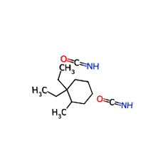 CCC1(CC)CCCCC1C.N=C=O.N=C=O